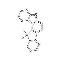 CC1(C)c2cccnc2-c2ccc3sc4ccccc4c3c21